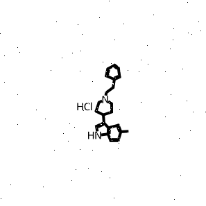 Cc1ccc2[nH]cc(C3CCN(CCc4ccccc4)CC3)c2c1.Cl